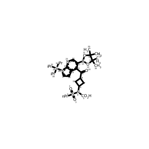 CCCS(=O)(=O)N(C(=O)O)C1CC(C(=O)c2c(B3OC(C)(C)C(C)(C)O3)cnc3c2ccn3[Si](C(C)C)(C(C)C)C(C)C)C1